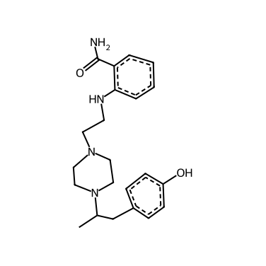 CC(Cc1ccc(O)cc1)N1CCN(CCNc2ccccc2C(N)=O)CC1